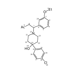 CCOc1cccc(C(CC(C)=O)N2CCC(O)(c3ccc(Cl)cc3)CC2)c1